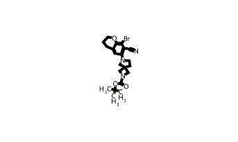 CC(C)(C)OC(=O)N1CC2(CCN(c3cc4c(c(Br)c3C#N)OCCC4)C2)C1